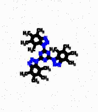 Cc1c(C)c(C)c2c(nnn2-c2nc(-n3nnc4c(C)c(C)c(C)c(C)c43)nc(-n3nnc4c(C)c(C)c(C)c(C)c43)n2)c1C